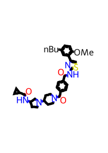 CCCCc1ccc(OC)c(-c2csc(NC(=O)c3ccc(C(=O)N4CCC(N5CCC(NC(=O)C6CC6)C5)CC4)cc3)n2)c1